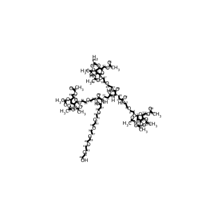 CC(=O)NC1C(OCCOCCNC(=O)CC[C@H](NC(=O)CC[C@H](NC(=O)CCOCCOCCOCCOCCOCCOCCO)C(=O)NCCOCCOC2OC(COC(C)=O)C(OC(C)=O)C(OC(C)=O)C2NC(C)=O)C(=O)NCCOCCOC2OC(COC(C)=O)C(OC(C)=O)C(OC(C)=O)C2NC(C)=O)OC(COC(C)=O)C(OC(C)=O)C1OC(C)=O